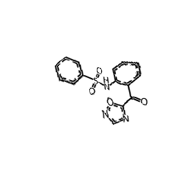 O=C(c1ncno1)c1ccccc1NS(=O)(=O)c1ccccc1